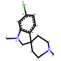 CN1CCC2(CC1)CN(C)c1cc(Br)ccc12